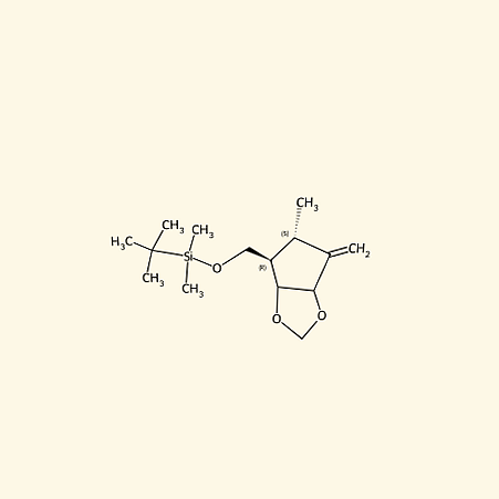 C=C1C2OCOC2[C@@H](CO[Si](C)(C)C(C)(C)C)[C@@H]1C